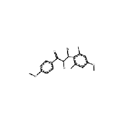 COc1ccc(C(=O)C(Br)C(Br)c2c(C)cc(OC)cc2C)cc1